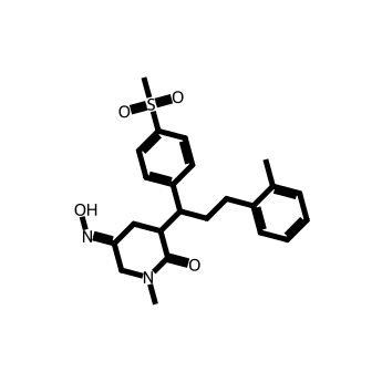 Cc1ccccc1CCC(c1ccc(S(C)(=O)=O)cc1)C1CC(=NO)CN(C)C1=O